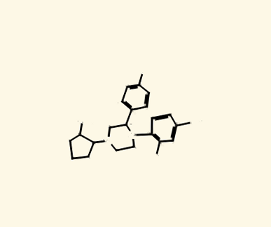 CC1CCCC1N1CCN(c2ccc(Cl)cc2Cl)C(c2ccc(Cl)cc2)C1